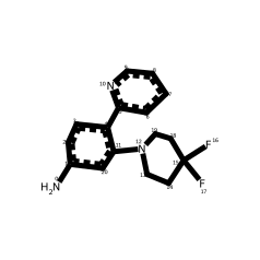 Nc1ccc(-c2ccccn2)c(N2CCC(F)(F)CC2)c1